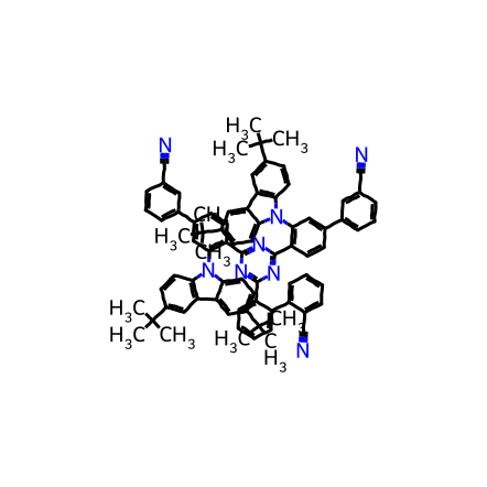 CC(C)(C)c1ccc2c(c1)c1cc(C(C)(C)C)ccc1n2-c1cc(-c2cccc(C#N)c2)ccc1-c1nc(-c2ccccc2-c2ccccc2C#N)nc(-c2ccc(-c3cccc(C#N)c3)cc2-n2c3ccc(C(C)(C)C)cc3c3cc(C(C)(C)C)ccc32)n1